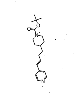 CC(C)(C)OC(=O)N1CCC(CC/C=C/c2ccncc2)CC1